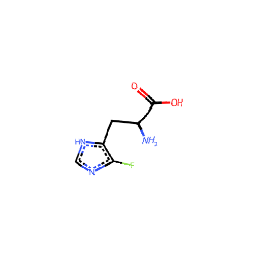 NC(Cc1[nH]cnc1F)C(=O)O